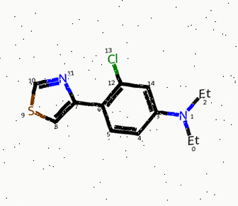 CCN(CC)c1ccc(-c2cs[c]n2)c(Cl)c1